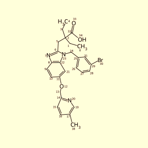 CCC(CC)(Cc1nc2ccc(OCc3ccc(C)cn3)cc2n1Cc1cccc(Br)c1)C(=O)O